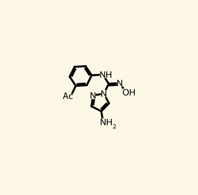 CC(=O)c1cccc(NC(=NO)n2cc(N)cn2)c1